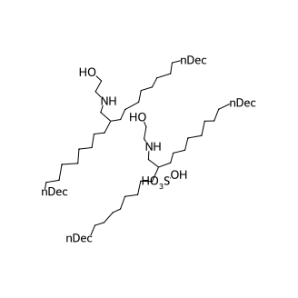 CCCCCCCCCCCCCCCCCCC(CCCCCCCCCCCCCCCCCC)CNCCO.CCCCCCCCCCCCCCCCCCC(CCCCCCCCCCCCCCCCCC)CNCCO.O=S(=O)(O)O